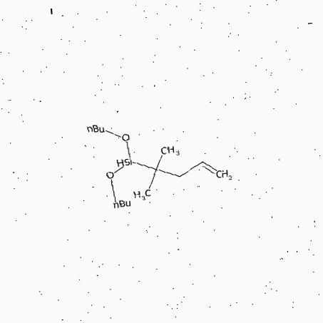 C=CCC(C)(C)[SiH](OCCCC)OCCCC